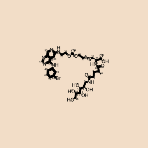 C[C@@H](CCC(=O)NC[C@H](O)[C@@H](O)[C@H](O)[C@H](O)CO)C(=O)N[C@@H](CSSCCOC(=O)OCCNc1cc2c(Nc3cccc(Br)c3)ncnc2cn1)C(=O)O